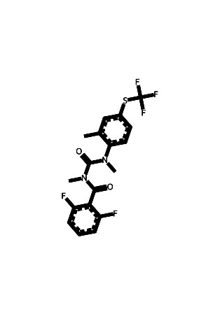 Cc1cc(SC(F)(F)F)ccc1N(C)C(=O)N(C)C(=O)c1c(F)cccc1F